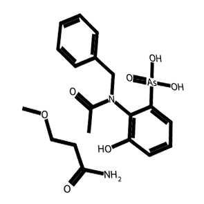 CC(=O)N(Cc1ccccc1)c1c(O)cccc1[As](=O)(O)O.COCCC(N)=O